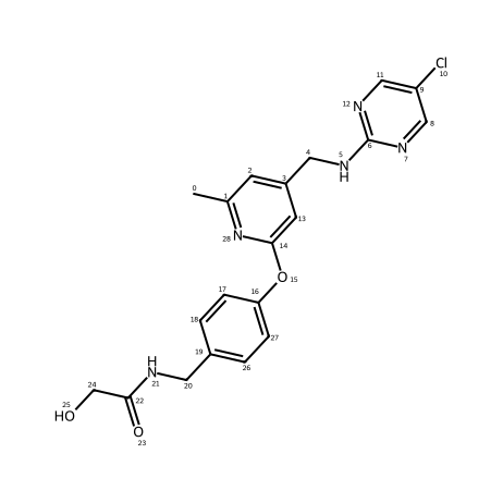 Cc1cc(CNc2ncc(Cl)cn2)cc(Oc2ccc(CNC(=O)CO)cc2)n1